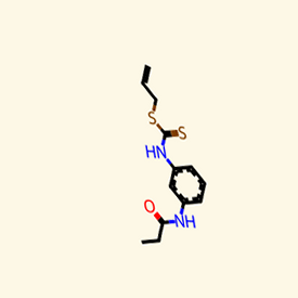 C=CCSC(=S)Nc1cccc(NC(=O)CC)c1